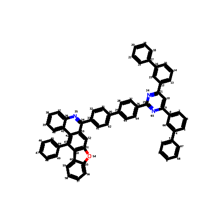 c1ccc(-c2cccc(-c3cc(-c4cccc(-c5ccccc5)c4)nc(-c4ccc(-c5ccc(-c6nc7ccccc7c7c(-c8ccccc8)c8c(cc67)oc6ccccc68)cc5)cc4)n3)c2)cc1